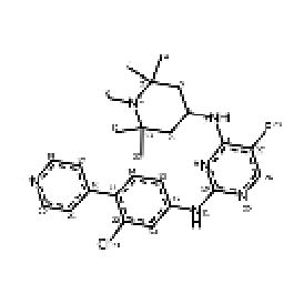 CN1C(C)(C)CC(Nc2nc(Nc3ccc(-c4ccncc4)c(Cl)c3)ncc2F)CC1(C)C